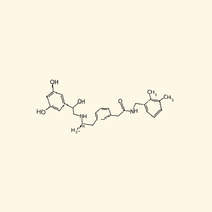 Cc1cccc(CNC(=O)Cc2cccc(C[C@@H](C)NCC(O)c3cc(O)cc(O)c3)c2)c1C